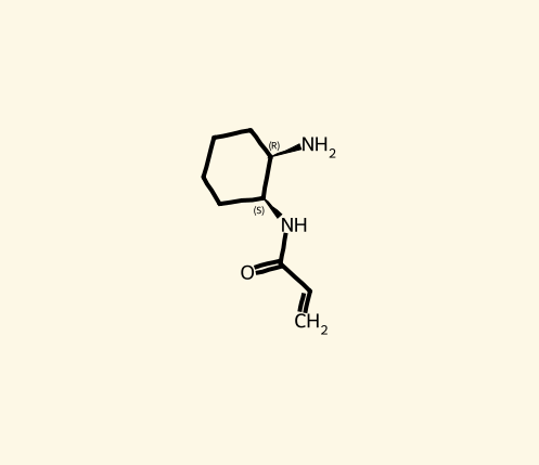 C=CC(=O)N[C@H]1CCCC[C@H]1N